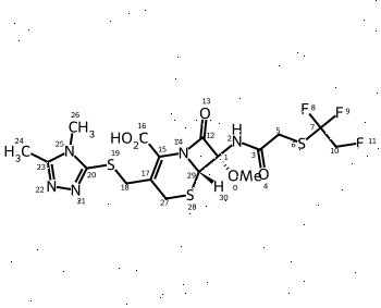 CO[C@@]1(NC(=O)CSC(F)(F)CF)C(=O)N2C(C(=O)O)=C(CSc3nnc(C)n3C)CS[C@H]21